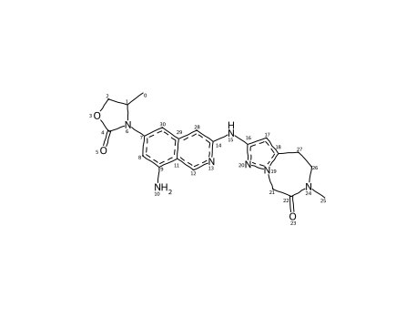 CC1COC(=O)N1c1cc(N)c2cnc(Nc3cc4n(n3)CC(=O)N(C)CC4)cc2c1